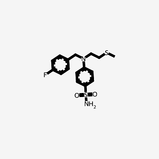 CSCCN(Cc1ccc(F)cc1)c1ccc(S(N)(=O)=O)cc1